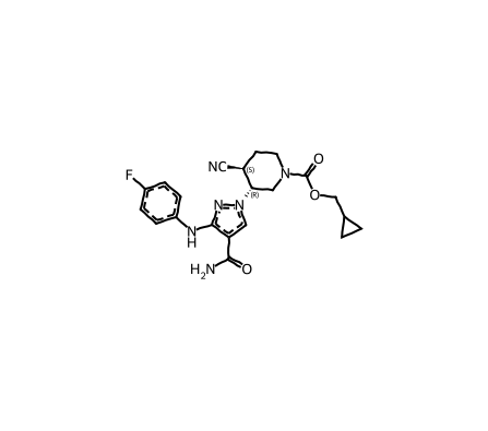 N#C[C@H]1CCN(C(=O)OCC2CC2)C[C@@H]1n1cc(C(N)=O)c(Nc2ccc(F)cc2)n1